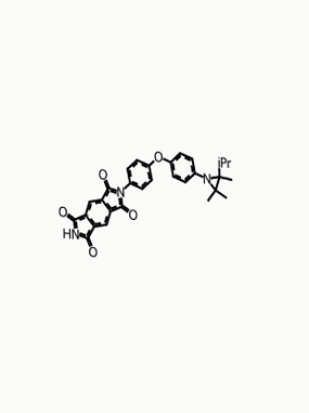 CC(C)C1(C)N(c2ccc(Oc3ccc(-n4c(=O)c5cc6c(=O)[nH]c(=O)c6cc5c4=O)cc3)cc2)C1(C)C